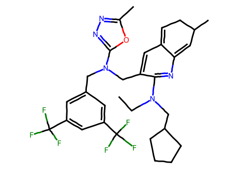 CCN(CC1CCCC1)c1nc2c(cc1CN(Cc1cc(C(F)(F)F)cc(C(F)(F)F)c1)c1nnc(C)o1)=CCC(C)C=2